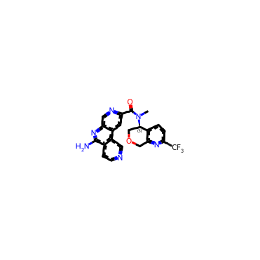 CN(C(=O)c1cc2c(cn1)nc(N)c1ccncc12)[C@@H]1COCc2nc(C(F)(F)F)ccc21